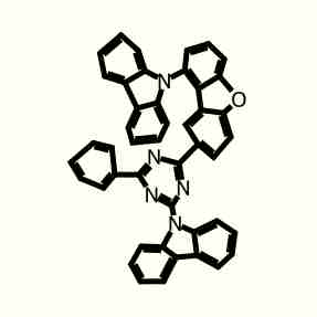 c1ccc(-c2nc(-c3ccc4oc5cccc(-n6c7ccccc7c7ccccc76)c5c4c3)nc(-n3c4ccccc4c4ccccc43)n2)cc1